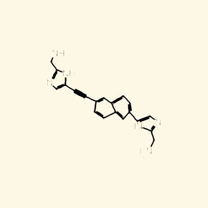 NCc1ncc(C#Cc2ccc3cc(-c4cnc(CN)[nH]4)ccc3c2)[nH]1